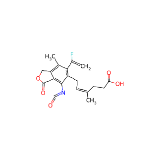 C=C(F)c1c(C)c2c(c(N=C=O)c1CC=C(C)CCC(=O)O)C(=O)OC2